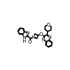 O=C(c1nc2ccccc2[nH]1)N1CC(Oc2nc3ccccc3nc2C2CCOCC2)C1